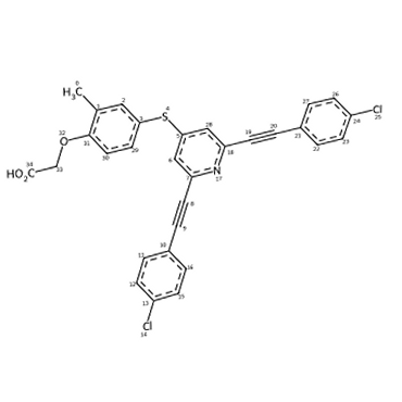 Cc1cc(Sc2cc(C#Cc3ccc(Cl)cc3)nc(C#Cc3ccc(Cl)cc3)c2)ccc1OCC(=O)O